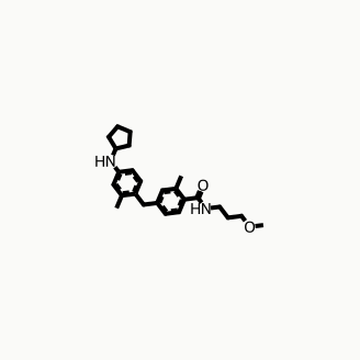 COCCCNC(=O)c1ccc(Cc2ccc(NC3CCCC3)cc2C)cc1C